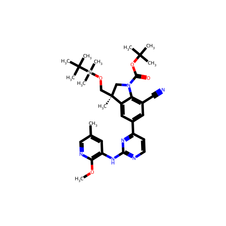 COc1ncc(C)cc1Nc1nccc(-c2cc(C#N)c3c(c2)[C@@](C)(CO[Si](C)(C)C(C)(C)C)CN3C(=O)OC(C)(C)C)n1